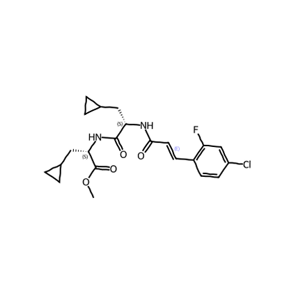 COC(=O)[C@H](CC1CC1)NC(=O)[C@H](CC1CC1)NC(=O)/C=C/c1ccc(Cl)cc1F